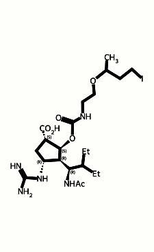 CCC(CC)[C@@H](NC(C)=O)[C@@H]1[C@H](OC(=O)NCCOC(C)CCI)[C@@H](C(=O)O)C[C@H]1NC(=N)N